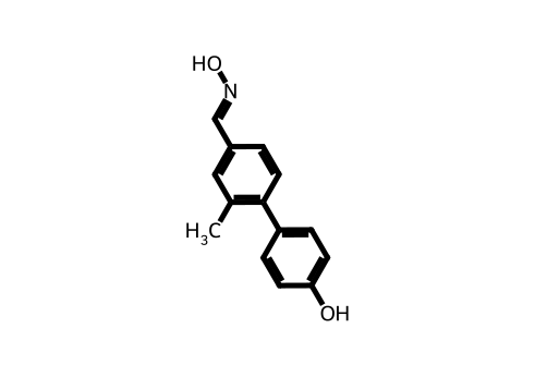 Cc1cc(C=NO)ccc1-c1ccc(O)cc1